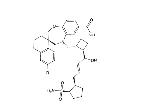 NS(=O)(=O)[C@@H]1CCC[C@@H]1C/C=C/C(O)[C@@H]1CC[C@H]1CN1C[C@@]2(CCCc3cc(Cl)ccc32)COc2ccc(C(=O)O)cc21